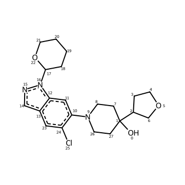 OC1(C2CCOC2)CCN(c2cc3c(cnn3C3CCCCO3)cc2Cl)CC1